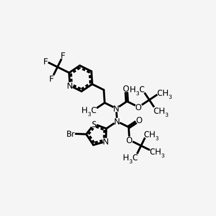 CC(Cc1ccc(C(F)(F)F)nc1)N(C(=O)OC(C)(C)C)N(C(=O)OC(C)(C)C)c1ncc(Br)s1